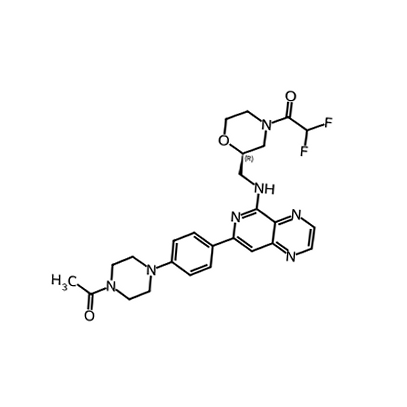 CC(=O)N1CCN(c2ccc(-c3cc4nccnc4c(NC[C@@H]4CN(C(=O)C(F)F)CCO4)n3)cc2)CC1